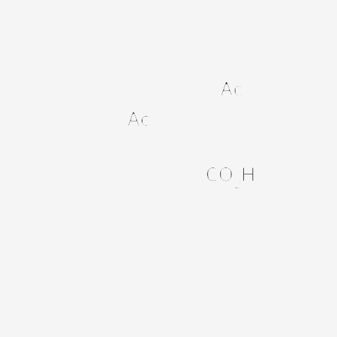 C1CCCCC1.CC(=O)C(C(C)=O)C(=O)O